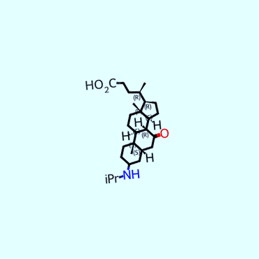 CC(C)NC1CC[C@@]2(C)[C@H](CC(=O)[C@@H]3[C@@H]2CC[C@]2(C)[C@@H]([C@H](C)CCC(=O)O)CC[C@@H]32)C1